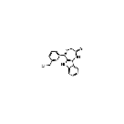 O=C1CN=C(c2cccc(CCl)c2)c2[nH]c3ccccc3c2N1